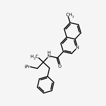 Cc1ccc2ncc(C(=O)NC(C)(Cc3ccccc3)CC(C)C)cc2c1